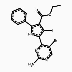 CCOC(=O)c1c(-c2ccccc2)[nH]c(-c2nc(N)ncc2Br)c1I